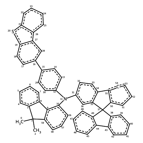 CC1(C)c2ccccc2-c2c(N(c3ccc(-c4ccc5sc6ccccc6c5c4)cc3)c3ccc4c(c3)C3(c5ccccc5-c5ccccc53)c3ccccc3-4)cccc21